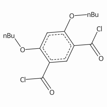 CCCCOc1cc(OCCCC)c(C(=O)Cl)cc1C(=O)Cl